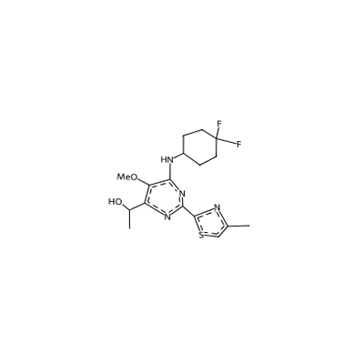 COc1c(NC2CCC(F)(F)CC2)nc(-c2nc(C)cs2)nc1C(C)O